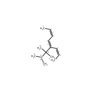 C\C=C/C=C(\C=C/C)C(C)(C)[SH](C)C